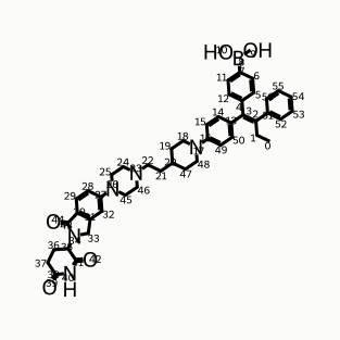 CC/C(=C(/c1ccc(B(O)O)cc1)c1ccc(N2CCC(CCN3CCN(c4ccc5c(c4)CN(C4CCC(=O)NC4=O)C5=O)CC3)CC2)cc1)c1ccccc1